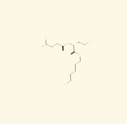 NCCCC[C@H](NC(=O)[C@H](CCS)NC(=O)CC[C@H](N)C(=O)O)C(=O)O